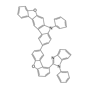 c1ccc(-n2c(-c3cccc4oc5ccc(-c6ccc7c(c6)c6cc8c(cc6n7-c6ccccc6)oc6ccccc68)cc5c34)nc3ccccc32)cc1